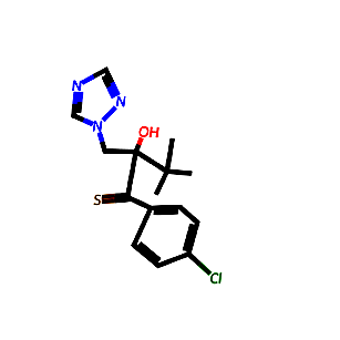 CC(C)(C)C(O)(Cn1cncn1)C(=S)c1ccc(Cl)cc1